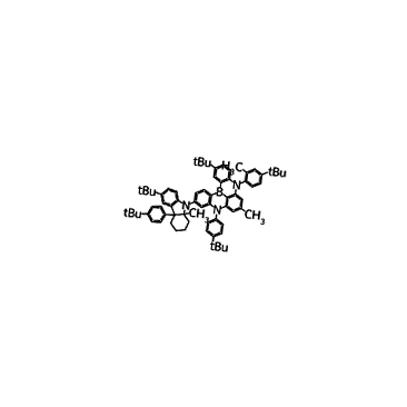 Cc1cc2c3c(c1)N(c1ccc(C(C)(C)C)cc1C)c1ccc(C(C)(C)C)cc1B3c1ccc(N3c4ccc(C(C)(C)C)cc4C4(c5ccc(C(C)(C)C)cc5)CCCCC34C)cc1N2c1ccc(C(C)(C)C)cc1